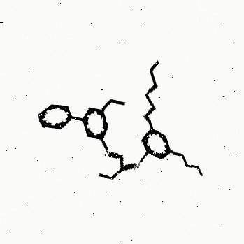 CCCCCCc1cc(CCCC)cc(N=C(C=Nc2cc(CC)cc(-c3ccccc3)c2)CC)c1